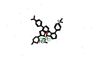 CC1=Cc2c(-c3ccc([Si](C)(C)C)cc3)cccc2[CH]1[Zr]([Cl])([Cl])([CH]1C(C2CCC(C)CC2)=Cc2c(-c3ccc(C(C)C)cc3)cccc21)[SiH](C)C